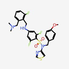 COc1ccc(CN(c2cscn2)S(=O)(=O)c2c(F)cc(NCc3c(F)cccc3CN(C)C)cc2F)cc1